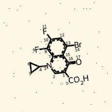 O=C(O)c1cn(C2CC2)c2c(F)c(F)cc(Br)c2c1=O